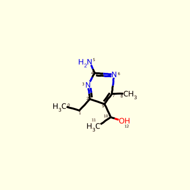 CCc1nc(N)nc(C)c1C(C)O